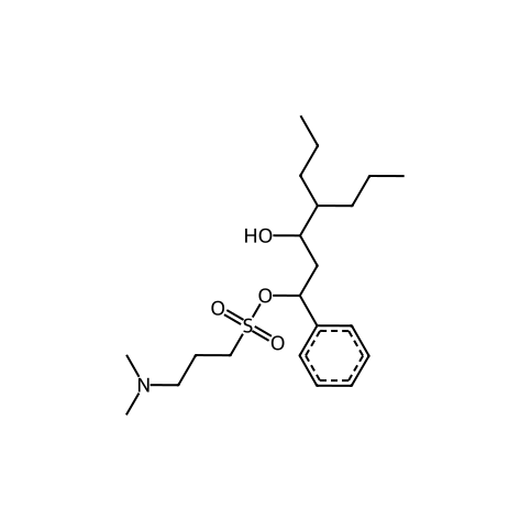 CCCC(CCC)C(O)CC(OS(=O)(=O)CCCN(C)C)c1ccccc1